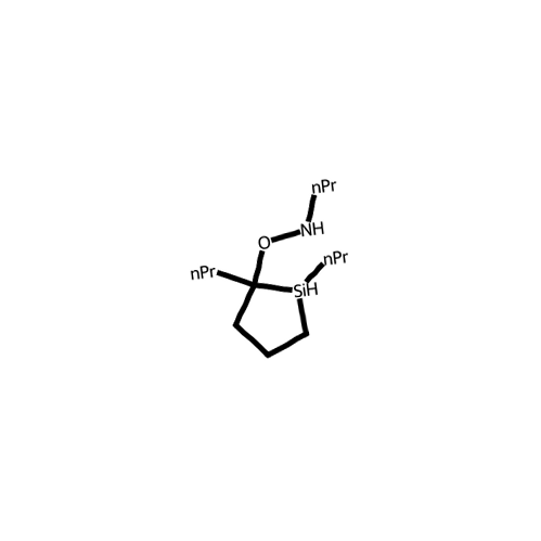 CCCNOC1(CCC)CCC[SiH]1CCC